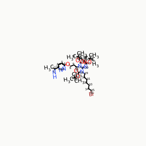 CC(=N)c1ccc(OCCCN(C(=O)OC(C)(C)C)/C(=N\C(=O)OC(C)(C)C)N(CCCCCCCBr)C(=O)OC(C)(C)C)nn1